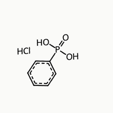 Cl.O=P(O)(O)c1ccccc1